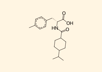 Cc1ccc(C[C@@H](NC(=O)C2CCC(C(C)C)CC2)C(=O)O)cc1